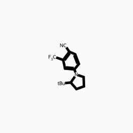 CC(C)(C)C1CCCN1c1ccc(C#N)c(C(F)(F)F)c1